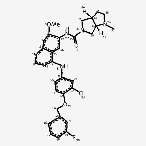 COc1cc2ncnc(Nc3ccc(OCc4cccc(F)c4)c(Cl)c3)c2cc1NC(=O)N1C[C@@H]2CCN(C)[C@@H]2C1